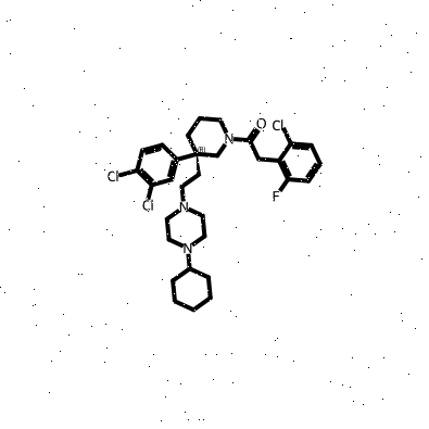 O=C(Cc1c(F)cccc1Cl)N1CCC[C@@](CCN2CCN(C3CCCCC3)CC2)(c2ccc(Cl)c(Cl)c2)C1